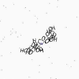 C/C(=C\C(=O)O[C@@]1(O)CO[C@@H]2[C@H](O)CO[C@@H]21)C(=O)O[C@@]1(O)CO[C@@H]2[C@H](O)CO[C@@H]21